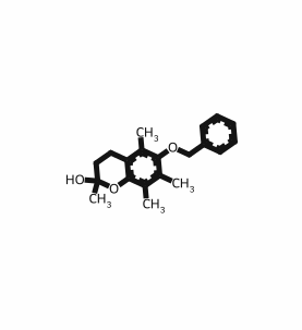 Cc1c(C)c2c(c(C)c1OCc1ccccc1)CCC(C)(O)O2